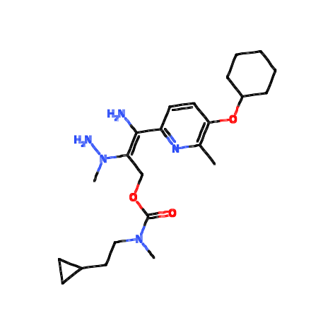 Cc1nc(/C(N)=C(\COC(=O)N(C)CCC2CC2)N(C)N)ccc1OC1CCCCC1